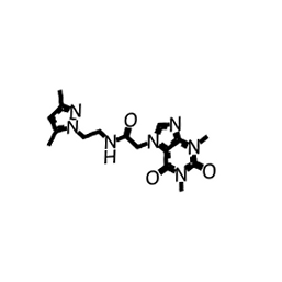 Cc1cc(C)n(CCNC(=O)Cn2cnc3c2c(=O)n(C)c(=O)n3C)n1